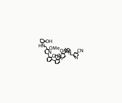 COc1nc(-c2cccc(-c3cccc(-c4ccc(C5=NCCN5Cc5cncc(C#N)c5)c(OC)n4)c3C)c2C)ccc1CN[C@@H]1CCC[C@@H]1O